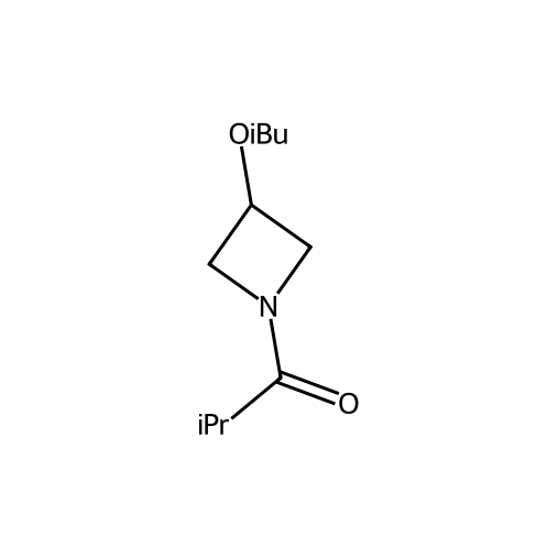 CC(C)COC1CN(C(=O)C(C)C)C1